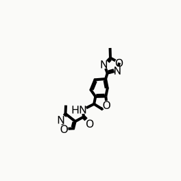 Cc1nc(-c2ccc3c(c2)OCC3NC(=O)c2conc2C)no1